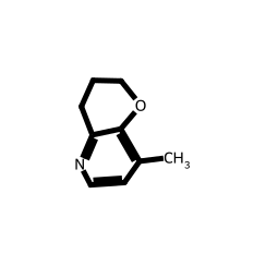 Cc1ccnc2c1OCCC2